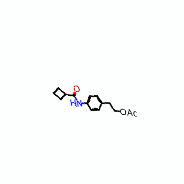 CC(=O)OCCc1ccc(NC(=O)C2CCC2)cc1